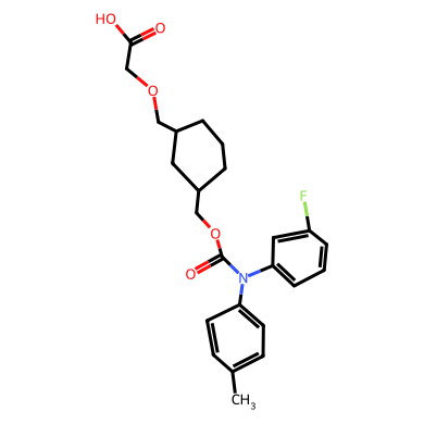 Cc1ccc(N(C(=O)OCC2CCCC(COCC(=O)O)C2)c2cccc(F)c2)cc1